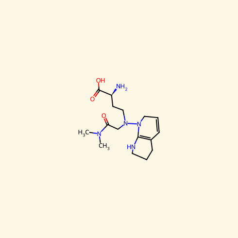 CN(C)C(=O)CN(CC[C@H](N)C(=O)O)N1CC=CC2=C1NCCC2